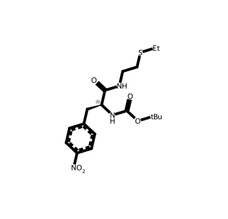 CCSCCNC(=O)[C@H](Cc1ccc([N+](=O)[O-])cc1)NC(=O)OC(C)(C)C